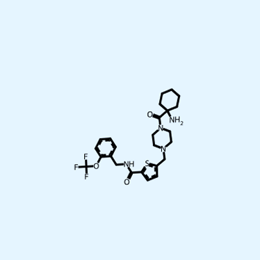 NC1(C(=O)N2CCN(Cc3ccc(C(=O)NCc4ccccc4OC(F)(F)F)s3)CC2)CCCCC1